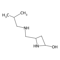 CC(C)CNCC1CC(O)N1